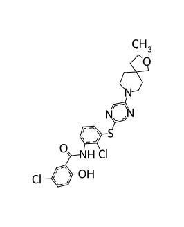 C[C@H]1CC2(CCN(c3cnc(Sc4cccc(NC(=O)c5cc(Cl)ccc5O)c4Cl)cn3)CC2)CO1